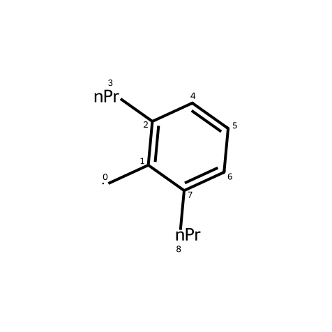 [CH2]c1c(CCC)cccc1CCC